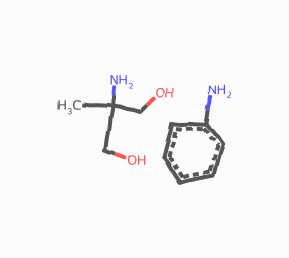 CC(N)(CO)CO.Nc1ccccc1